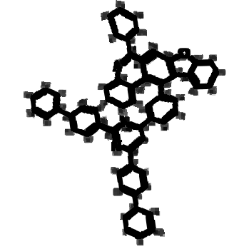 c1ccc(-c2ccc(-c3cc(-c4cccc(-c5c6c(cc7c(-c8ccccc8)nc8ccccc8c57)oc5ccccc56)c4)nc(-c4ccc(-c5ccccc5)cc4)n3)cc2)cc1